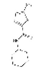 Cc1ccc(C(=O)NC2CCCCC2)s1